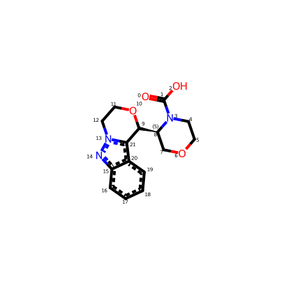 O=C(O)N1CCOC[C@H]1C1OCCn2nc3ccccc3c21